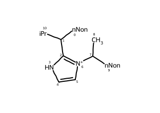 CCCCCCCCCC(c1[nH]cc[n+]1C(C)CCCCCCCCC)C(C)C